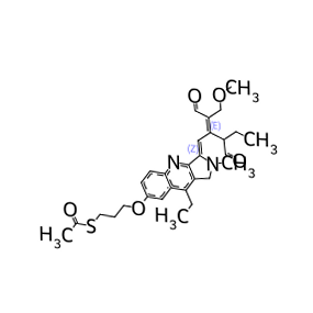 CCc1c2c(nc3ccc(OCCCSC(C)=O)cc13)/C(=C/C(=C(\C=O)COC)C(C=O)CC)N(C)C2